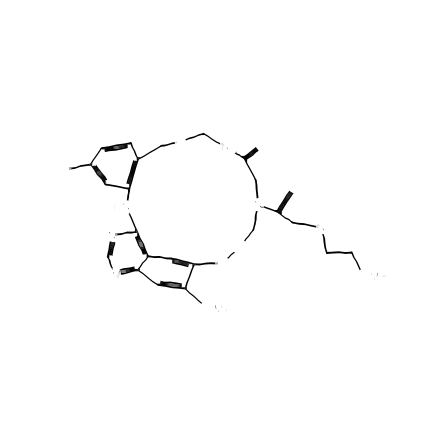 COCCNCC(=O)N1CCOc2cc3c(ncnc3cc2OC)Nc2cc(Cl)ccc2CCCNC(=O)C1